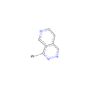 CC(C)c1nncc2ccncc12